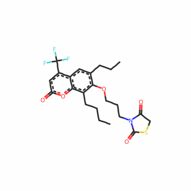 CCCCc1c(OCCCN2C(=O)CSC2=O)c(CCC)cc2c(C(F)(F)F)cc(=O)oc12